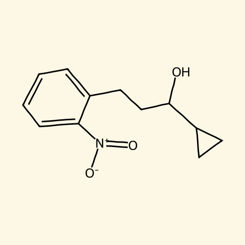 O=[N+]([O-])c1ccccc1CCC(O)C1CC1